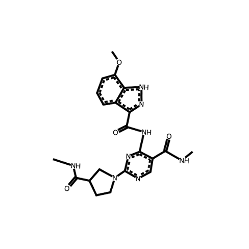 CNC(=O)c1cnc(N2CCC(C(=O)NC)C2)nc1NC(=O)c1n[nH]c2c(OC)cccc12